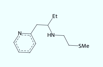 CCC(Cc1ccccn1)NCCSC